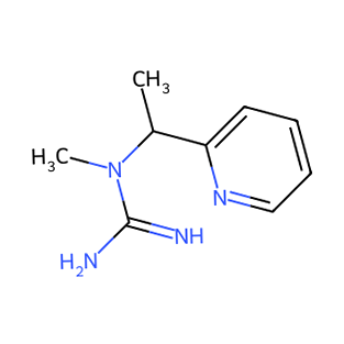 CC(c1ccccn1)N(C)C(=N)N